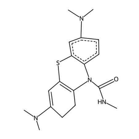 CNC(=O)N1C2=C(C=C(N(C)C)CC2)Sc2cc(N(C)C)ccc21